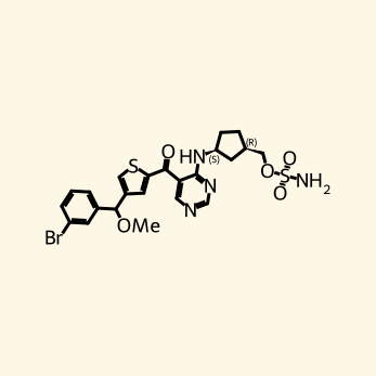 COC(c1cccc(Br)c1)c1csc(C(=O)c2cncnc2N[C@H]2CC[C@@H](COS(N)(=O)=O)C2)c1